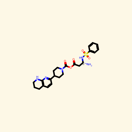 N[C@H](CC(=O)OC(=O)N1CCC(c2ccc3c(n2)NCCC3)CC1)NS(=O)(=O)c1ccccc1